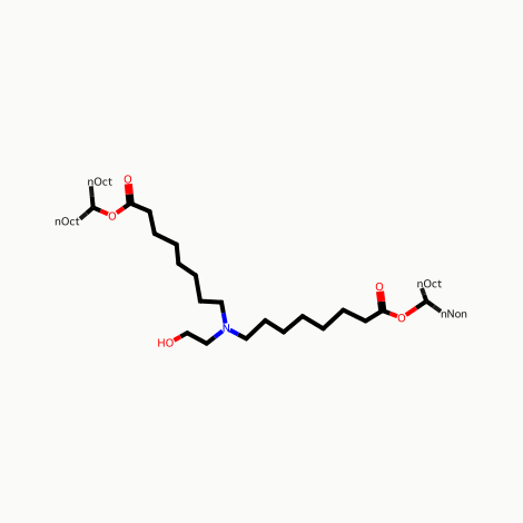 CCCCCCCCCC(CCCCCCCC)OC(=O)CCCCCCCN(CCO)CCCCCCCC(=O)OC(CCCCCCCC)CCCCCCCC